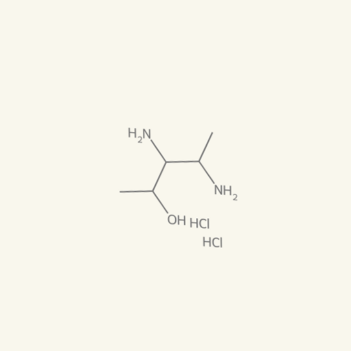 CC(N)C(N)C(C)O.Cl.Cl